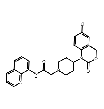 O=C(CN1CCC(N2C(=O)OCc3cc(Cl)ccc32)CC1)Nc1cccc2cccnc12